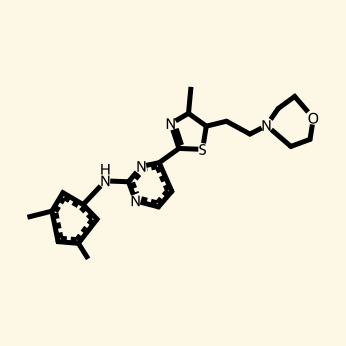 Cc1cc(C)cc(Nc2nccc(C3=NC(C)C(CCN4CCOCC4)S3)n2)c1